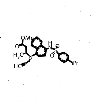 C#CCN(c1ccc(NS(=O)(=O)c2ccc(C(C)C)cc2)c2ccccc12)[C@@H](C)CC(=O)OC